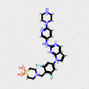 OS1(O)CCN(Cc2c(F)cc(-n3ccc4cnc(Nc5ccc(N6CCNCC6)nc5)nc43)cc2F)CC1